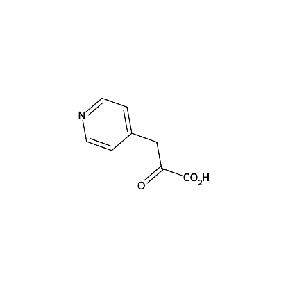 O=C(O)C(=O)Cc1ccncc1